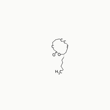 CCCCCC[C@H]1C/C=C\CCCCCCCC(=O)O1